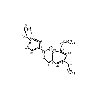 COc1ccc(C2CCc3cc(CO)cc(OC)c3O2)cn1